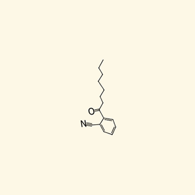 CCCCCCCC(=O)c1ccccc1C#N